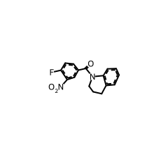 O=C(c1ccc(F)c([N+](=O)[O-])c1)N1CCCc2ccccc21